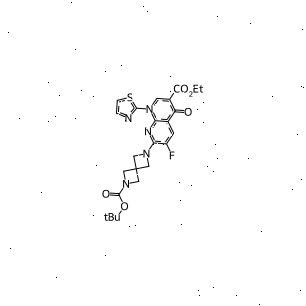 CCOC(=O)c1cn(-c2nccs2)c2nc(N3CC4(CN(C(=O)OC(C)(C)C)C4)C3)c(F)cc2c1=O